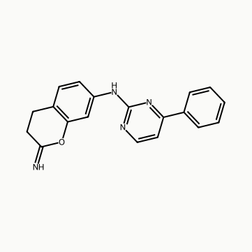 N=C1CCc2ccc(Nc3nccc(-c4ccccc4)n3)cc2O1